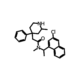 CC1CC(CC(=O)N(C)C(C)c2cc(Cl)cc3ccccc23)(c2ccccc2)CCN1